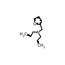 C=CCN(CC=C)Cc1ccco1